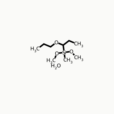 CCCOC(CC)[Si](C)(OC)OC.O